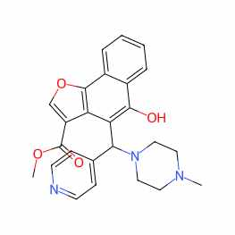 COC(=O)c1coc2c1c(C(c1ccncc1)N1CCN(C)CC1)c(O)c1ccccc12